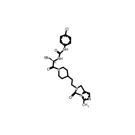 Cc1ncc2n1C(=O)N(CCC1CCN(C(=O)[C@H](NC(=O)Nc3ccc(Cl)cc3)C(C)(C)C)CC1)C2